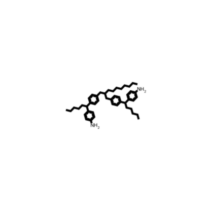 CCCCCCCCC(Cc1ccc(C(CCCCC)c2ccc(N)cc2)cc1)Cc1ccc(C(CCCCC)c2ccc(N)cc2)cc1